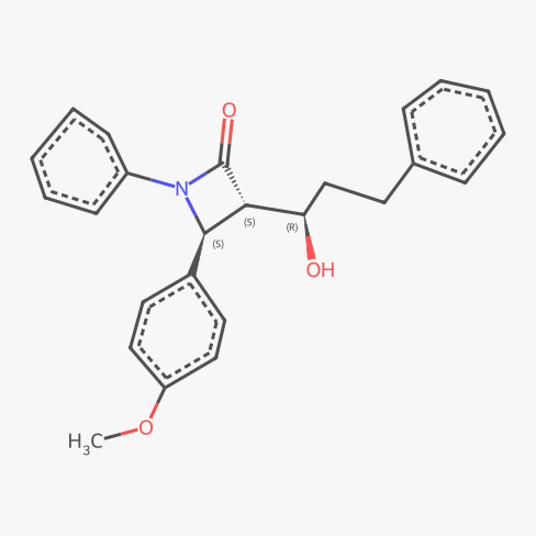 COc1ccc([C@@H]2[C@@H]([C@H](O)CCc3ccccc3)C(=O)N2c2ccccc2)cc1